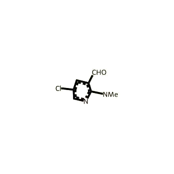 CNc1ncc(Cl)cc1C=O